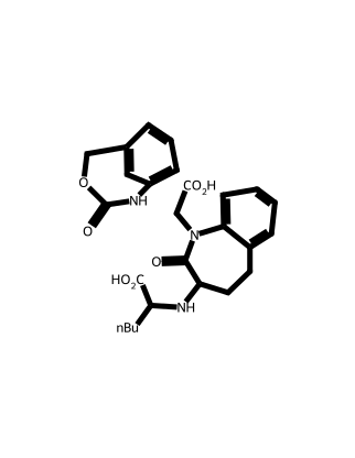 CCCCC(NC1CCc2ccccc2N(CC(=O)O)C1=O)C(=O)O.O=C1Nc2cccc(c2)CO1